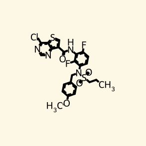 CCCS(=O)(=O)N(Cc1ccc(OC)cc1)c1ccc(F)c(NC(=O)c2csc3c(Cl)ncnc23)c1F